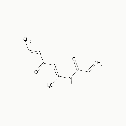 C=CC(=O)NC(C)=NC(=O)N=CC